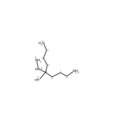 CCCC(CCCN)(CCCN)NN